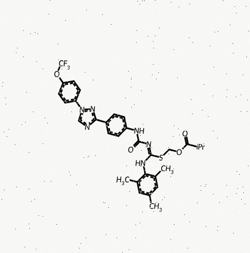 Cc1cc(C)c(N/C(=N\C(=O)Nc2ccc(-c3ncn(-c4ccc(OC(F)(F)F)cc4)n3)cc2)SCOC(=O)C(C)C)c(C)c1